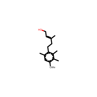 COc1cc(C)c(CCC(C)=CCO)c(C)c1C